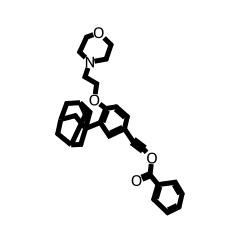 O=C(OC#Cc1ccc(OCCN2CCOCC2)c(C23CC4CC(CC(C4)C2)C3)c1)c1ccccc1